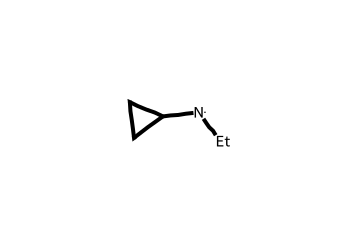 CC[N]C1CC1